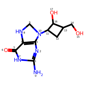 Nc1nc2c(c(=O)[nH]1)NCN2C1CC(CO)C1O